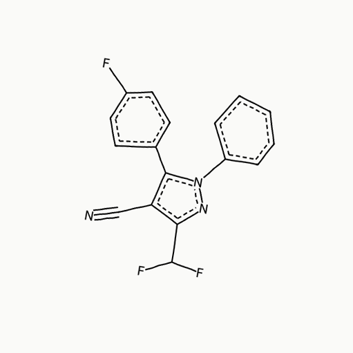 N#Cc1c(C(F)F)nn(-c2ccccc2)c1-c1ccc(F)cc1